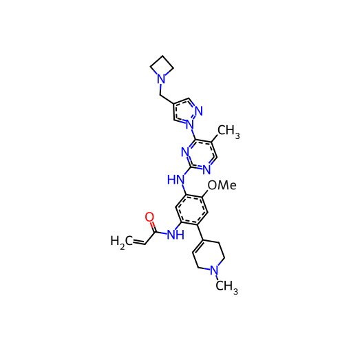 C=CC(=O)Nc1cc(Nc2ncc(C)c(-n3cc(CN4CCC4)cn3)n2)c(OC)cc1C1=CCN(C)CC1